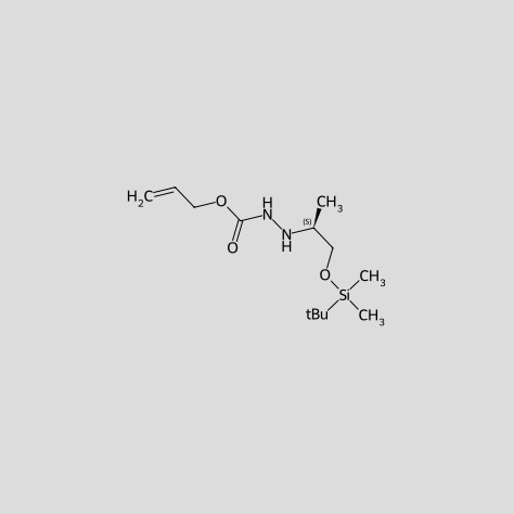 C=CCOC(=O)NN[C@@H](C)CO[Si](C)(C)C(C)(C)C